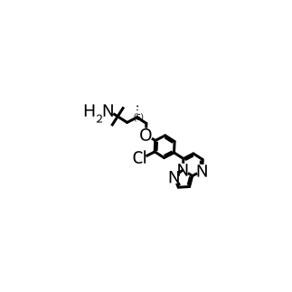 C[C@H](COc1ccc(-c2ccnc3ccnn23)cc1Cl)CC(C)(C)N